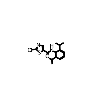 CC(C)C1=CC=CC(C(C)C)C1NC(=O)c1cnc(Cl)s1